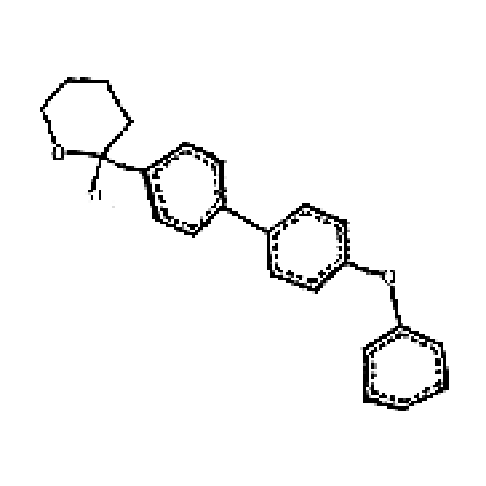 [SiH3]C1(c2ccc(-c3ccc(Oc4ccccc4)cc3)cc2)CCCCO1